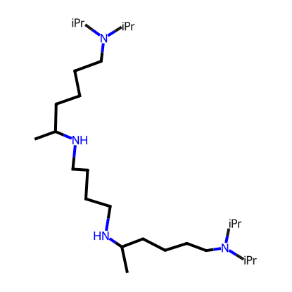 CC(CCCCN(C(C)C)C(C)C)NCCCCNC(C)CCCCN(C(C)C)C(C)C